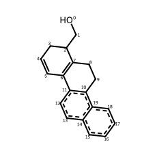 OCC1CC=CC2=C1CCc1c2ccc2ccccc12